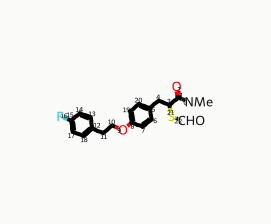 CNC(=O)C(Cc1ccc(OCCc2ccc(F)cc2)cc1)SC=O